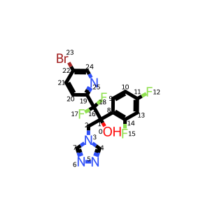 OC(Cn1cnnc1)(c1ccc(F)cc1F)C(F)(F)c1ccc(Br)cn1